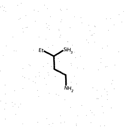 CCC([SiH3])CCN